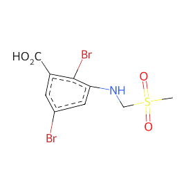 CS(=O)(=O)CNc1cc(Br)cc(C(=O)O)c1Br